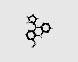 COc1cccc2c1Oc1ccccc1N2C1=NCCC1